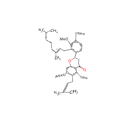 COc1cc2c(c(OC)c1CC=C(C)C)C(=O)CC(c1ccc(OC)c(OC)c1C/C=C(\C)CCC=C(C)C)O2